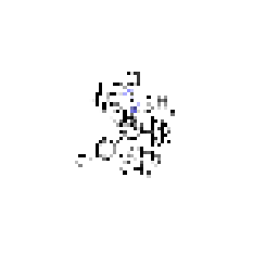 C=C/C(=C(\C=C(/C)Cl)C(C)C)c1sc(-c2ccc(Cl)cc2C(C)C)cc1-c1nnn[nH]1